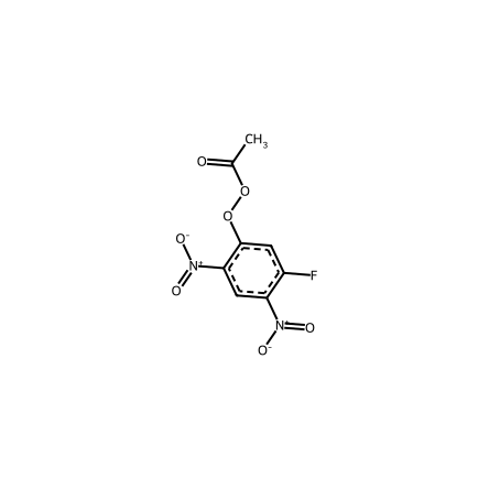 CC(=O)OOc1cc(F)c([N+](=O)[O-])cc1[N+](=O)[O-]